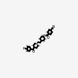 N#Cc1ccc(C(=O)NC2CCC(CCN3CCC(C(=O)c4ccc(F)cc4)CC3)CC2)cc1